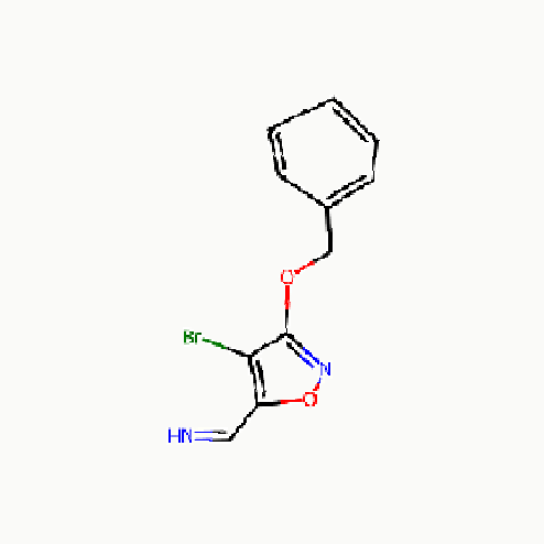 N=Cc1onc(OCc2ccccc2)c1Br